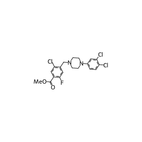 COC(=O)c1cc(Cl)c(CN2CCN(c3ccc(Cl)c(Cl)c3)CC2)cc1F